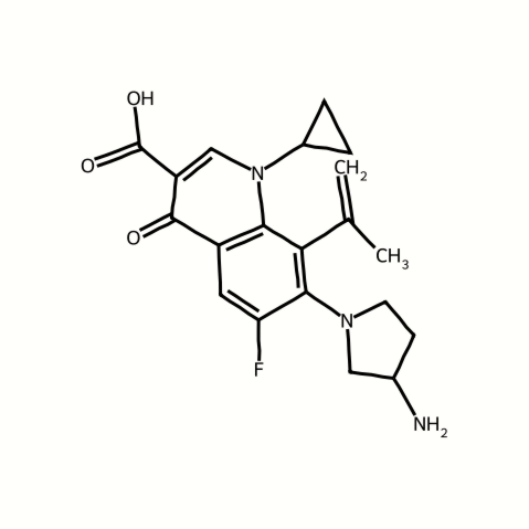 C=C(C)c1c(N2CCC(N)C2)c(F)cc2c(=O)c(C(=O)O)cn(C3CC3)c12